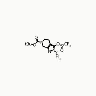 Cn1nc2c(c1OS(=O)C(F)(F)F)CCN(C(=O)OC(C)(C)C)C2